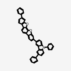 c1ccc(-c2ccc3c(c2)oc2c3ccc3c4ccc(-c5ccc6c(c5)c5cc(-c7ccccc7)ccc5n6-c5ccccc5)cc4oc32)cc1